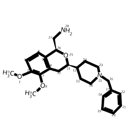 COc1ccc2c(c1OC)C[C@H](C1CCN(Cc3ccccc3)CC1)O[C@@H]2CN